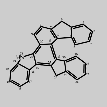 c1ccc2c(c1)Cc1ccc3c(c1-2)c1c(c2c4ccccc4[nH]c32)Cc2ccccc2-1